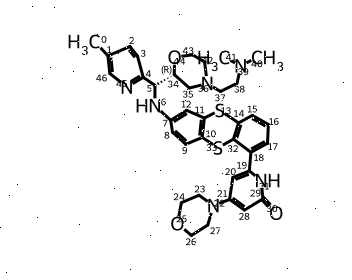 Cc1ccc(C(Nc2ccc3c(c2)Sc2cccc(-c4cc(N5CCOCC5)cc(=O)[nH]4)c2S3)[C@H]2CN(CCN(C)C)CCO2)nc1